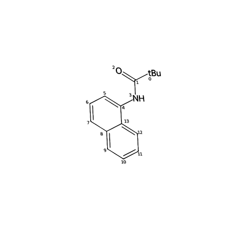 CC(C)(C)C(=O)Nc1cccc2ccccc12